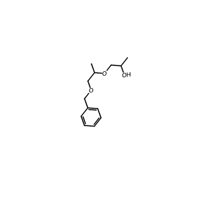 CC(O)COC(C)COCc1ccccc1